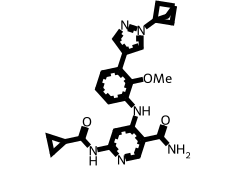 COc1c(Nc2cc(NC(=O)C3CC3)ncc2C(N)=O)cccc1-c1cnn(C23CC(C2)C3)c1